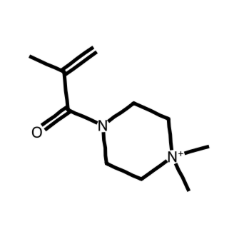 C=C(C)C(=O)N1CC[N+](C)(C)CC1